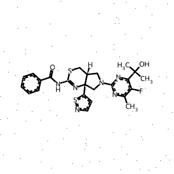 Cc1nc(N2C[C@H]3CSC(NC(=O)c4ccccc4)=NC3(c3ccns3)C2)nc(C(C)(C)O)c1F